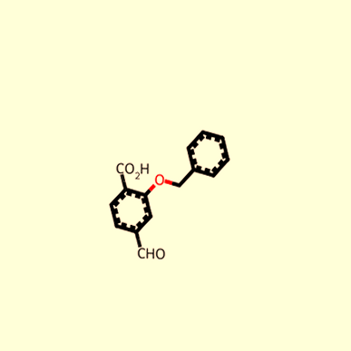 O=Cc1ccc(C(=O)O)c(OCc2ccccc2)c1